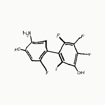 Nc1cc(-c2c(F)c(O)c(F)c(F)c2F)c(F)cc1O